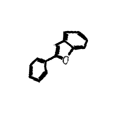 [c]1c(-c2ccccc2)oc2ccccc12